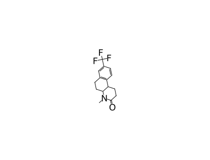 CN1C(=O)CCC2c3ccc(C(F)(F)F)cc3CCC21